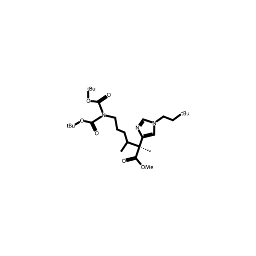 COC(=O)[C@](C)(c1cn(CCC(C)(C)C)cn1)C(C)CCCN(C(=O)OC(C)(C)C)C(=O)OC(C)(C)C